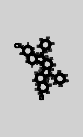 Clc1ccc2c(ccc3c4c5c6ccc7cc(Cl)ccc7c6n(-c6ccccc6)c5ccc4n(-c4ccccc4)c23)c1